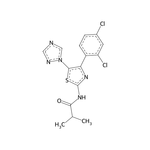 CC(C)C(=O)Nc1nc(-c2ccc(Cl)cc2Cl)c(-n2cncn2)s1